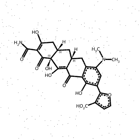 CN(C)c1cc(-c2occc2C(=O)O)c(O)c2c1C[C@H]1C[C@H]3CC(O)=C(C(N)=O)C(=O)[C@@]3(O)C(O)=C1C2=O